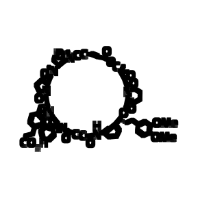 COc1ccc(CC[C@H]2OC(=O)[C@@H]3CCCCN3C(=O)C(=O)C(C)(C)COC(=O)/C=C/CCN(C)C(=O)[C@H](CC(C)C)N(C)C(=O)[C@H]3CCCN3C(=O)[C@H](Cc3ccc(CCC(=O)O)cc3)NC(=O)[C@H](c3ccccc3)NC(=O)CCC(=O)Nc3cccc2c3)cc1OC